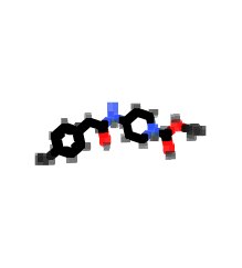 CC(C)c1ccc(CC(=O)NC2CCN(C(=O)OC(C)(C)C)CC2)cc1